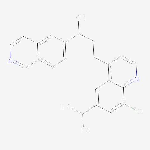 CC(C)c1cc(Cl)c2nccc(CCC(C)c3ccc4cnccc4c3)c2c1